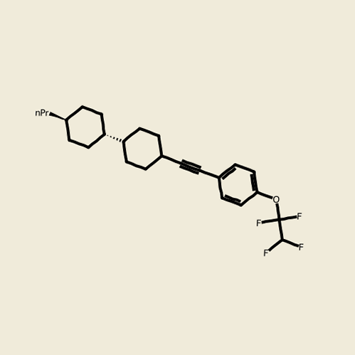 CCC[C@H]1CC[C@H](C2CCC(C#Cc3ccc(OC(F)(F)C(F)F)cc3)CC2)CC1